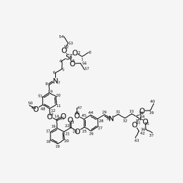 CCO[Si](CCC/N=C/c1ccc(OC(=O)c2ccccc2C(=O)Oc2ccc(/C=N/CCC[Si](OCC)(OCC)OCC)cc2OC)c(OC)c1)(OCC)OCC